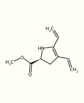 C=CC1=C(C=C)N[C@H](C(=O)OC)C1